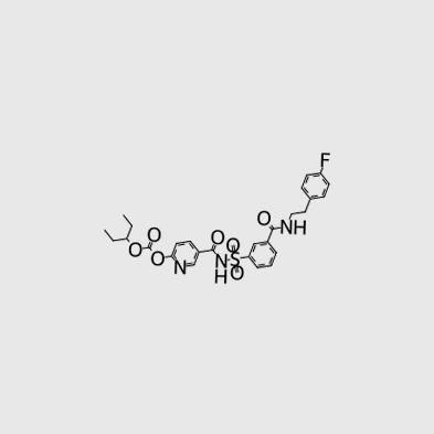 CCC(CC)OC(=O)Oc1ccc(C(=O)NS(=O)(=O)c2cccc(C(=O)NCCc3ccc(F)cc3)c2)cn1